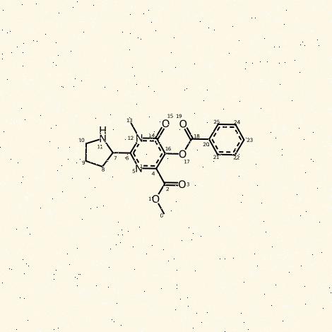 COC(=O)c1nc(C2CCCN2)n(C)c(=O)c1OC(=O)c1ccccc1